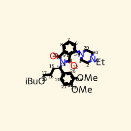 CCN1CCN(c2cccc3c2C(=O)N([C@H](CCCOCC(C)C)c2ccc(OC)c(OC)c2)C3=O)CC1